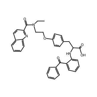 CCN(CCOc1ccc(CC(Nc2ccccc2C(=O)c2ccccc2)C(=O)O)cc1)C(=O)c1ccc2ccccc2n1